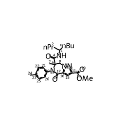 CCCCC(CCC)NC(=O)C1(C)Cn2nc(C(=O)OC)cc2C(=O)N1c1ccc(C)cc1